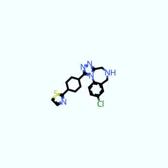 Clc1ccc2c(c1)CNCc1nnc(C3CCC(c4nccs4)CC3)n1-2